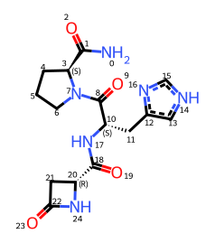 NC(=O)[C@@H]1CCCN1C(=O)[C@H](Cc1c[nH]cn1)NC(=O)[C@H]1CC(=O)N1